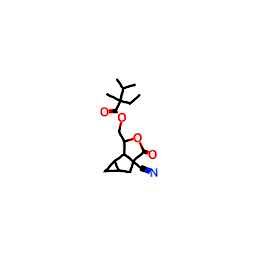 CCC(C)(C(=O)OCC1OC(=O)C2(C#N)CC3CC3C12)C(C)C